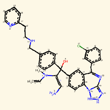 C=CN(C)/C(=C\N)C(O)(c1ccc(CNCCc2ccccn2)cc1)c1ccc2c(c1)C(c1cccc(Cl)c1)=NC1=NNNN12